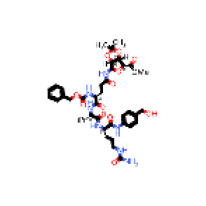 COC(=O)[C@H]1OC(NC(=O)CC[C@H](NC(=O)OCc2ccccc2)C(=O)N[C@H](C(=O)N[C@@H](CCCNC(N)=O)C(=O)Nc2ccc(CO)cc2)C(C)C)[C@@H]2OC(C)(C)O[C@H]12